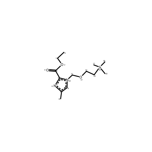 CCOC(=O)c1nc(C)cn1COCC[Si](C)(C)C